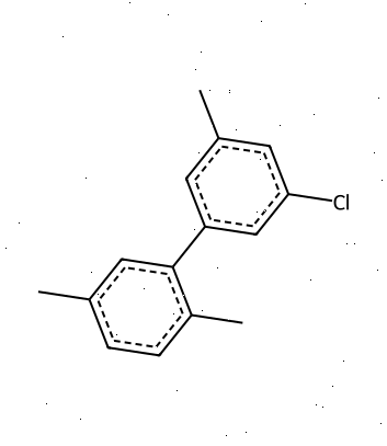 Cc1cc(Cl)cc(-c2cc(C)ccc2C)c1